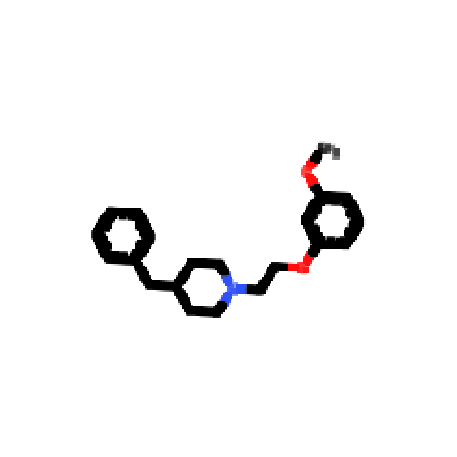 COc1cccc(OCCN2CCC(Cc3ccccc3)CC2)c1